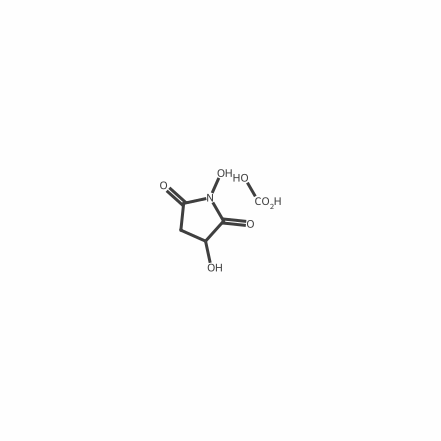 O=C(O)O.O=C1CC(O)C(=O)N1O